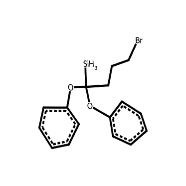 [SiH3]C(CCCBr)(Oc1ccccc1)Oc1ccccc1